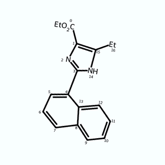 CCOC(=O)c1nc(-c2cccc3ccccc23)[nH]c1CC